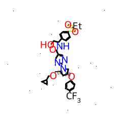 CCS(=O)(=O)c1ccc(C(CO)NC(=O)c2cnc(N3C[C@H](Oc4ccc(C(F)(F)F)cc4)C[C@H]3COCC3CC3)nc2)cc1